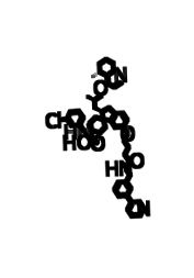 C[C@@H](COc1ccnc2c1[C@H](C)CCC2)C[C@H]1Cc2ccc(OCCCC(=O)NCc3cccc(-c4cccnc4)c3)cc2C12CCC(Nc1cccc(Cl)c1)(C(=O)O)CC2